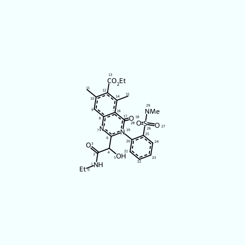 CCNC(=O)C(O)c1nc2cc(C)c(C(=O)OCC)c(C)c2c(=O)n1-c1ccccc1S(=O)(=O)NC